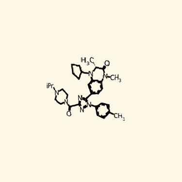 Cc1ccc(-n2nc(C(=O)N3CCN(C(C)C)CC3)nc2-c2ccc3c(c2)N(C2CCCC2)[C@H](C)C(=O)N3C)cc1